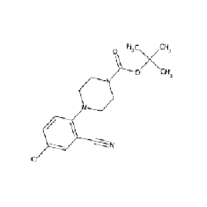 CC(C)(C)OC(=O)N1CCN(c2ccc(Cl)cc2C#N)CC1